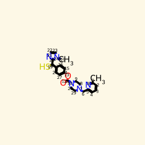 Cc1cccc(CN2CCN(C(=O)Oc3ccc(C(S)c4nccn4C)cc3)CC2)n1